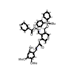 COc1cc(N)c(/C=C/C(=O)Oc2c(C)ncc(CO[Si](c3ccccc3)(c3ccccc3)C(C)(C)C)c2/C=N/NC(=O)c2ccncc2)cc1OC